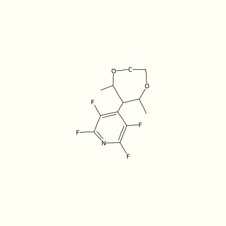 CC1OCCOC(C)C1c1c(F)c(F)nc(F)c1F